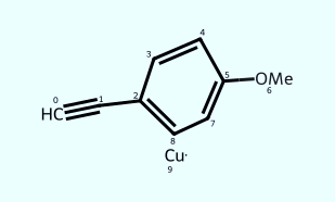 C#Cc1ccc(OC)cc1.[Cu]